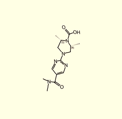 C[C@@H]1CN(c2ncc(C(=O)N(C)C)cn2)C[C@H](C)N1C(=O)O